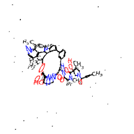 CC#CC(=O)N1C[C@H](C)[C@@](O)(C(=O)N(C)[C@H](C(=O)N[C@H]2Cc3cccc(c3)-c3ccc4c(c3)c(c(-c3cccnc3[C@H](C)OC)n4CC)CC(C)(C)COC(=O)[C@@]3(O)CCCN(N3)C2=O)C(C)C)C1